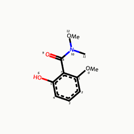 COc1cccc(O)c1C(=O)N(C)OC